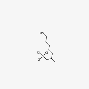 CC(CCCCCS)C[Si](Cl)(Cl)Cl